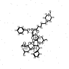 CC(C)C[C@H](NC(=O)[C@H](CCc1ccccc1)NC(=O)CCCCN1CCN(C)CC1)C(=O)N[C@@H](Cc1ccccc1)C(=O)N[C@@H](CC(C)C)C(=O)[C@@]1(C)CO1